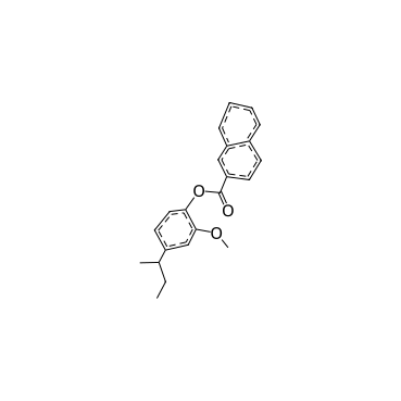 CCC(C)c1ccc(OC(=O)c2ccc3ccccc3c2)c(OC)c1